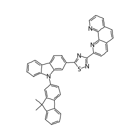 CC1(C)c2ccccc2-c2ccc(-n3c4ccccc4c4ccc(-c5nc(-c6ccc7ccc8cccnc8c7n6)ns5)cc43)cc21